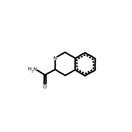 NC(=O)C1Cc2ccccc2C[N]1